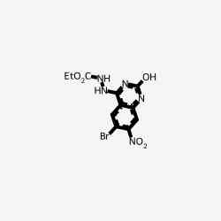 CCOC(=O)NNc1nc(O)nc2cc([N+](=O)[O-])c(Br)cc12